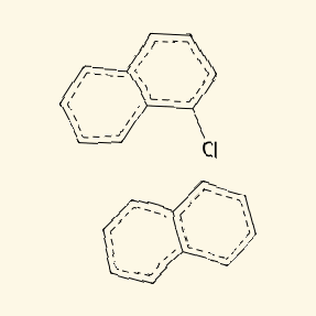 Clc1cccc2ccccc12.c1ccc2ccccc2c1